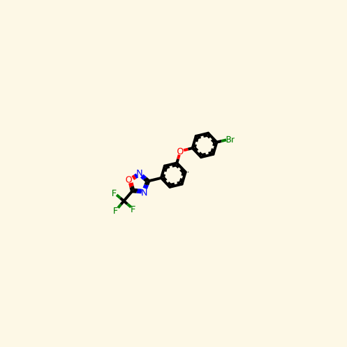 FC(F)(F)c1nc(-c2cc[c]c(Oc3ccc(Br)cc3)c2)no1